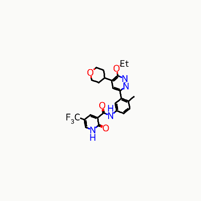 CCOc1nnc(-c2cc(NC(=O)c3cc(C(F)(F)F)c[nH]c3=O)ccc2C)cc1C1CCOCC1